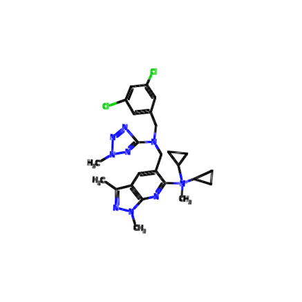 Cc1nn(C)c2nc([N+](C)(C3CC3)C3CC3)c(CN(Cc3cc(Cl)cc(Cl)c3)c3nnn(C)n3)cc12